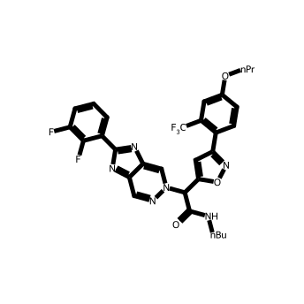 CCCCNC(=O)C(c1cc(-c2ccc(OCCC)cc2C(F)(F)F)no1)n1cc2nc(-c3cccc(F)c3F)nc-2cn1